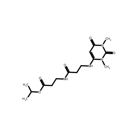 CC(C)OC(=O)CCNC(=O)CCNc1cc(=O)n(C)c(=O)n1C